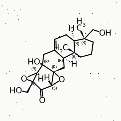 C[C@@]1(CO)CCC[C@]2(C)[C@H]3C[C@@]45O[C@@H]4C(=O)[C@]4(CO)O[C@@H]4[C@]5(O)CC3=CC[C@@H]12